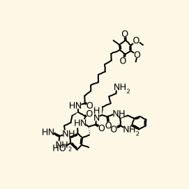 COC1=C(OC)C(=O)C(CCCCCCCCCC(=O)N[C@H](CCCNC(=N)N)C(=O)N[C@@H](Cc2c(C)cc(O)cc2C)C(=O)N[C@@H](CCCCN)C(=O)N[C@@H](Cc2ccccc2)C(N)=O)=C(C)C1=O